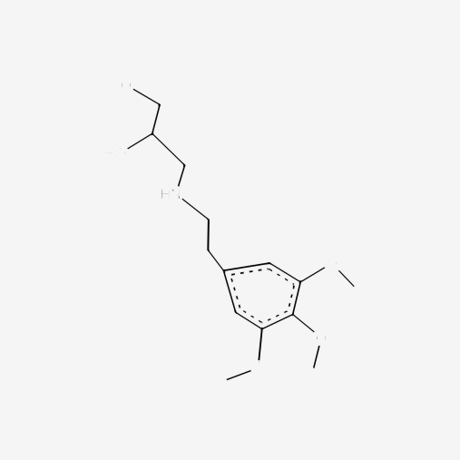 COc1cc(CCNCC(O)C[O])cc(OC)c1OC